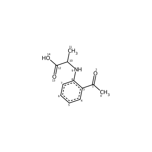 CC(=O)c1ccccc1NC(C)C(=O)O